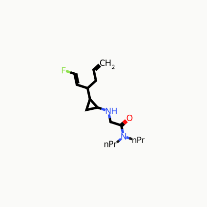 C=CCC(/C=C/F)C1CC1NCC(=O)N(CCC)CCC